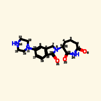 O=C1CCC[C@H](N2Cc3cc(N4CCNCC4)ccc3C2=O)C(=O)N1